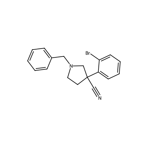 N#CC1(c2ccccc2Br)CCN(Cc2ccccc2)C1